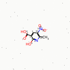 Cc1nc(O)c(C(=O)O)cc1[N+](=O)[O-]